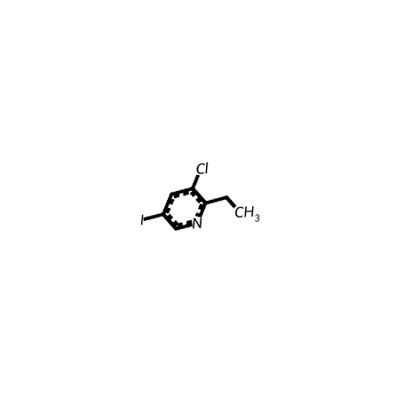 CCc1ncc(I)cc1Cl